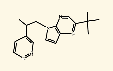 CC(Cn1ccc2nc(C(C)(C)C)cnc21)c1ccnnc1